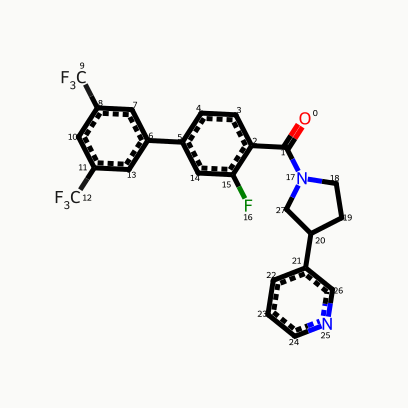 O=C(c1ccc(-c2cc(C(F)(F)F)cc(C(F)(F)F)c2)cc1F)N1CCC(c2cccnc2)C1